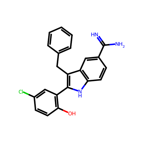 N=C(N)c1ccc2[nH]c(-c3cc(Cl)ccc3O)c(Cc3ccccc3)c2c1